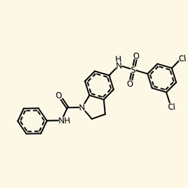 O=C(Nc1ccccc1)N1CCc2cc(NS(=O)(=O)c3cc(Cl)cc(Cl)c3)ccc21